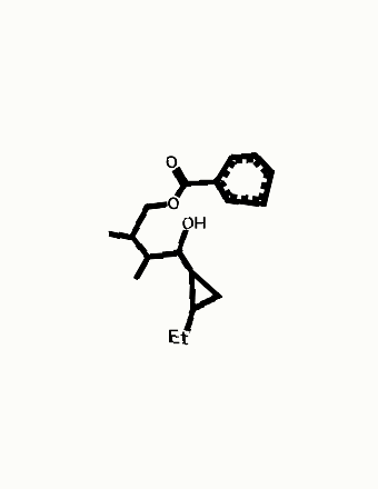 CCC1CC1C(O)C(C)C(C)COC(=O)c1ccccc1